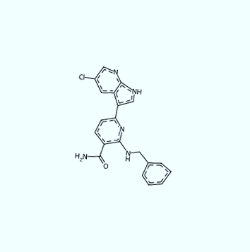 NC(=O)c1ccc(-c2c[nH]c3ncc(Cl)cc23)nc1NCc1ccccc1